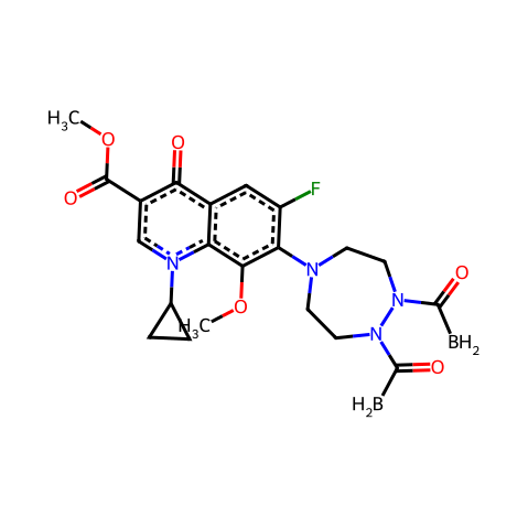 BC(=O)N1CCN(c2c(F)cc3c(=O)c(C(=O)OC)cn(C4CC4)c3c2OC)CCN1C(B)=O